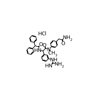 CN(C(=O)C(NC(=O)C(c1ccccc1)c1ccccc1)c1cccc(NC(=N)N)c1)c1ccc(CC(N)=O)cc1.Cl